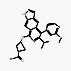 COc1cc(-c2c(C(C)C)nc(O[C@H]3C[C@H](C(=O)O)C3)c3cc4[nH]ncc4cc23)ccn1